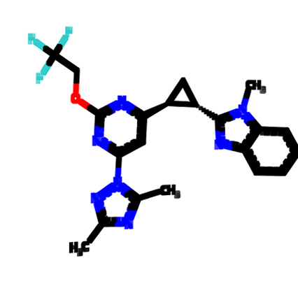 Cc1nc(C)n(-c2cc([C@H]3C[C@@H]3c3nc4ccccc4n3C)nc(OCC(F)(F)F)n2)n1